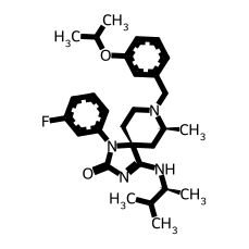 CC(C)Oc1cccc(CN2CC[C@@]3(C[C@@H]2C)C(N[C@@H](C)C(C)C)=NC(=O)N3c2cccc(F)c2)c1